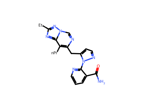 CCCc1c(Cc2ccnn2-c2ncccc2C(N)=O)ncn2nc(CC)nc12